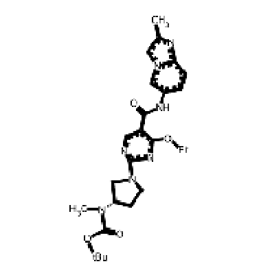 CCOc1nc(N2CC[C@H](N(C)C(=O)OC(C)(C)C)C2)ncc1C(=O)Nc1ccc2nc(C)cn2c1